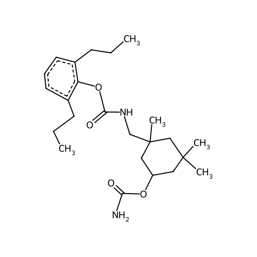 CCCc1cccc(CCC)c1OC(=O)NCC1(C)CC(OC(N)=O)CC(C)(C)C1